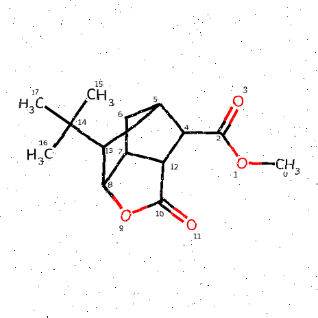 COC(=O)C1C2CC3C(OC(=O)C31)C2C(C)(C)C